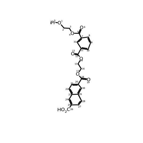 CC(C)OCCOC(=O)c1cccc(C(=O)OCCOC(=O)c2ccc3cc(C(=O)O)ccc3c2)c1